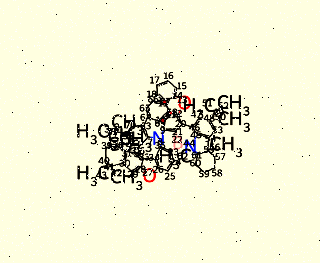 CC(C)(C)c1ccc(N2c3cc4c(oc5ccccc54)c4c3B(c3ccc5oc6cc7c(cc6c5c32)C(C)(C)CCC7(C)C)N2c3c-4cc(C(C)(C)C)cc3C3(C)CCCCC23C)c(-c2ccccc2)c1